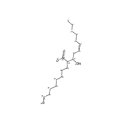 CCCCC/C=C\CC(O)C(CCCCCCC[C]=O)[N+](=O)[O-]